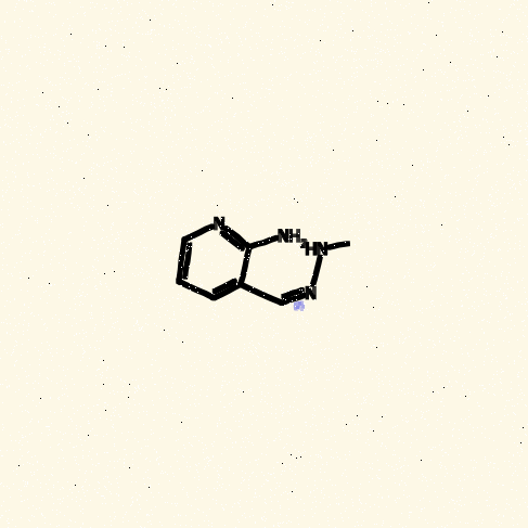 CN/N=C\c1cccnc1N